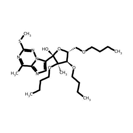 CCCCOC[C@H]1O[C@@](O)(c2cnc3c(C)nc(SC)nn23)[C@](C)(OCCCC)[C@@H]1OCCCC